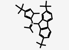 C[C](C)=[Zr]([C]1=CC(C(C)(C)C)=CC1C)[CH]1c2cc(C(C)(C)C)ccc2-c2ccc(C(C)(C)C)cc21